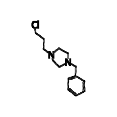 ClCCCN1CCN(Cc2ccccc2)CC1